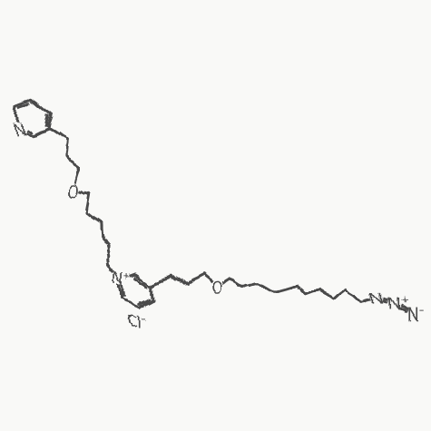 [Cl-].[N-]=[N+]=NCCCCCCCCCCOCCCc1ccc[n+](CCCCCCOCCCc2cccnc2)c1